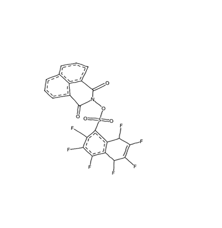 O=C1c2cccc3cccc(c23)C(=O)N1OS(=O)(=O)c1c(F)c(F)c(F)c2c1C(F)C(F)=C(F)C2F